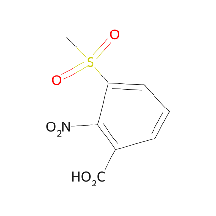 CS(=O)(=O)c1cccc(C(=O)O)c1[N+](=O)[O-]